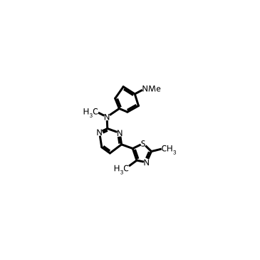 CNc1ccc(N(C)c2nccc(-c3sc(C)nc3C)n2)cc1